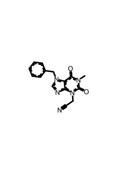 Cn1c(=O)c2c(ncn2Cc2ccccc2)n(CC#N)c1=O